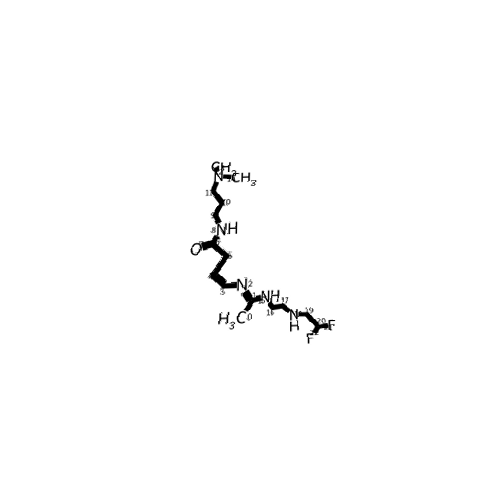 C/C(=N\C=C/CC(=O)NCCCN(C)C)NCCNCC(F)F